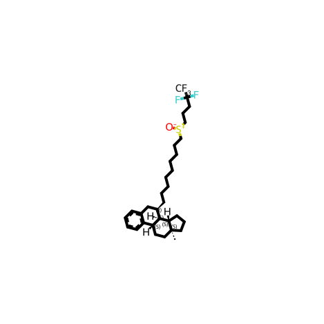 C[C@@]12CCC[C@H]1[C@@H]1[C@H](CCCCCCCCC[S+]([O-])CCCC(F)(F)C(F)(F)F)Cc3ccccc3[C@H]1CC2